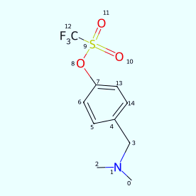 CN(C)Cc1ccc(OS(=O)(=O)C(F)(F)F)cc1